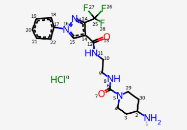 Cl.NC1CCN(C(=O)NCCNC(=O)c2cn(-c3ccccc3)nc2C(F)(F)F)CC1